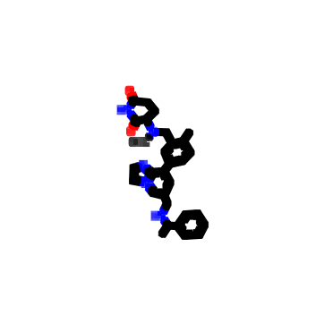 Cc1ccc(-c2cc(CNC(C)c3ccccc3)cn3ccnc23)cc1CN(C=O)C1CCC(=O)NC1=O